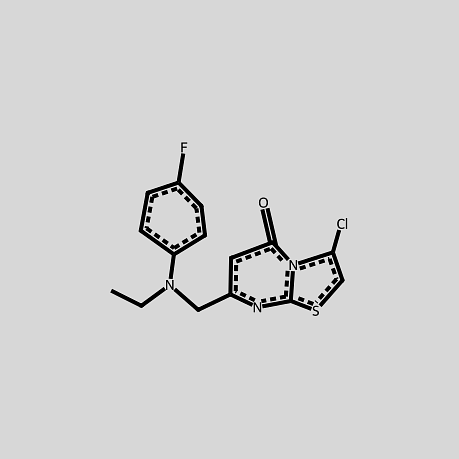 CCN(Cc1cc(=O)n2c(Cl)csc2n1)c1ccc(F)cc1